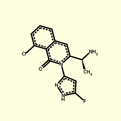 C[C@H](N)c1cc2cccc(Cl)c2c(=O)n1-c1cc(F)[nH]n1